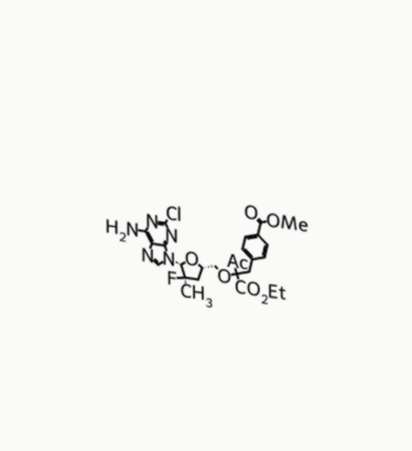 CCOC(=O)C(Cc1ccc(C(=O)OC)cc1)(OC[C@@H]1C[C@@](C)(F)[C@H](n2cnc3c(N)nc(Cl)nc32)O1)C(C)=O